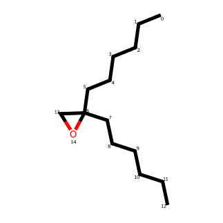 CCCCCCC1(CCCCCC)CO1